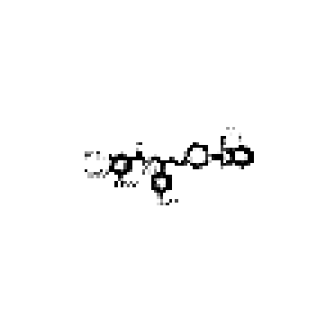 COc1ccc(C(CCN2CCCN(c3nc4ccccc4n3CC(F)(F)F)CC2)CN(C)C(=O)c2cc(OC)c(OC)c(OC)c2)cc1